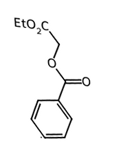 CCOC(=O)COC(=O)c1cc[c]cc1